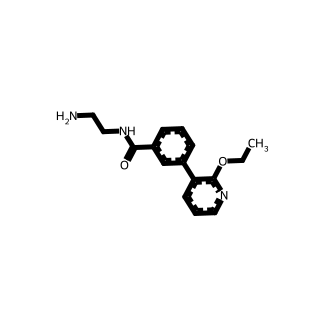 CCOc1ncccc1-c1cccc(C(=O)NCCN)c1